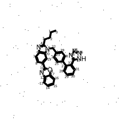 CCCCc1nc2ccc(-c3nc4ccccc4o3)cc2n1Cc1ccc(-c2ccccc2-c2nnn[nH]2)cc1